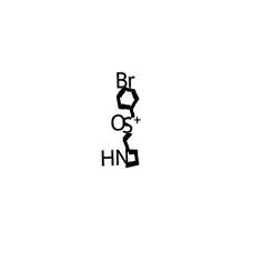 [O-][S+](C=Cc1ccc[nH]1)Cc1ccc(Br)cc1